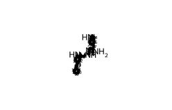 Nc1nc(NCCc2c[nH]c3ccc(OCc4ccccc4)cc23)ncc1Cc1ccc2[nH]ccc2c1